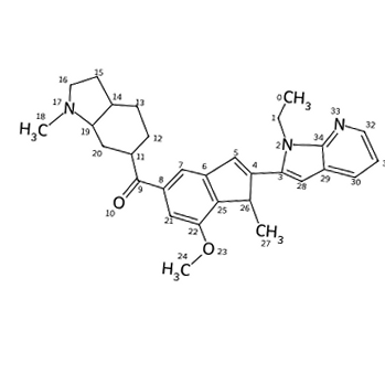 CCn1c(C2=Cc3cc(C(=O)C4CCC5CCN(C)C5C4)cc(OC)c3C2C)cc2cccnc21